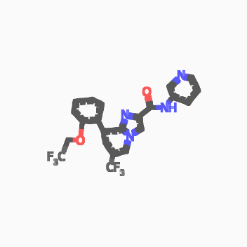 O=C(Nc1cccnc1)c1cn2cc(C(F)(F)F)cc(-c3ccccc3OCC(F)(F)F)c2n1